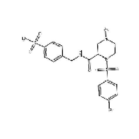 CC(=O)N1CCN(S(=O)(=O)c2ccc(C(C)C)cc2)C(C(=O)NCc2ccc(S(N)(=O)=O)cc2)C1